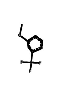 COc1cccc([B-](F)(F)F)c1